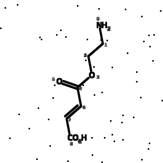 NCCOC(=O)/C=C/C(=O)O